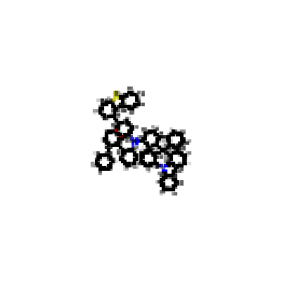 c1ccc(-c2ccccc2-c2ccccc2N(c2ccc(-c3cccc4sc5ccccc5c34)cc2)c2ccc3c(c2)C2(c4ccccc4-3)c3ccccc3-n3c4ccccc4c4cccc2c43)cc1